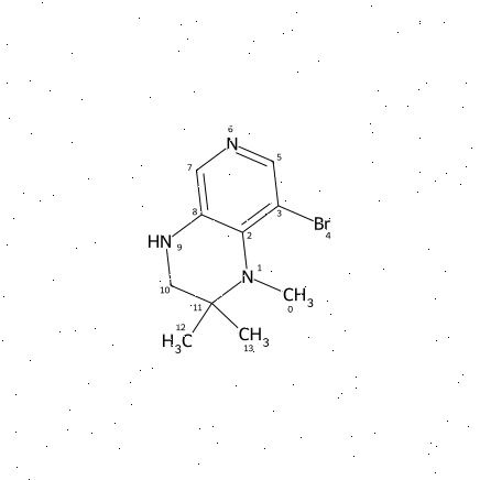 CN1c2c(Br)cncc2NCC1(C)C